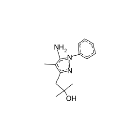 Cc1c(CC(C)(C)O)nn(-c2ccccc2)c1N